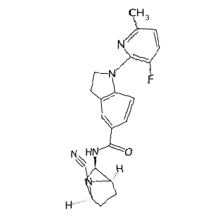 Cc1ccc(F)c(N2CCc3cc(C(=O)N[C@@H]4C[C@@H]5CC[C@H]4N5C#N)ccc32)n1